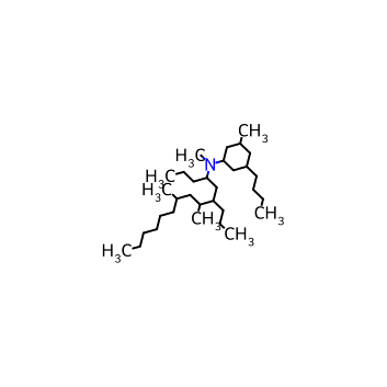 CCCCCCC(C)CC(C)C(CCC)CC(CCC)N(C)C1CC(C)CC(CCCC)C1